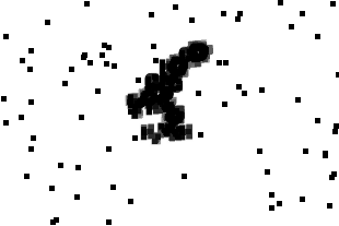 N=C(N)c1csc(CNC(=O)C2CC(=C(F)F)CN2C(=O)CNC(=O)c2ccc(Oc3ccccc3)cc2)c1